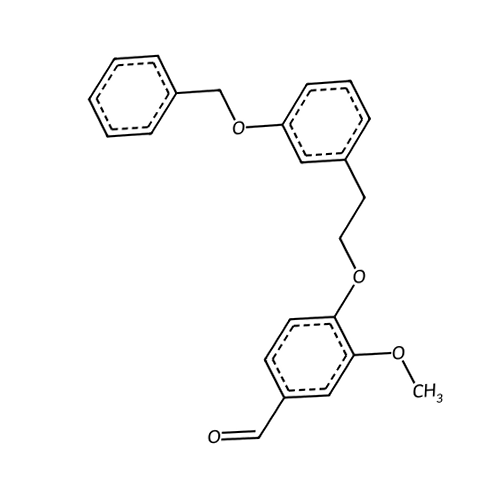 COc1cc(C=O)ccc1OCCc1cccc(OCc2ccccc2)c1